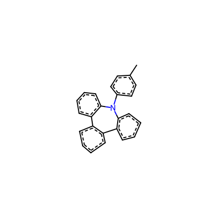 Cc1ccc(N2c3ccccc3-c3ccccc3-c3ccccc32)cc1